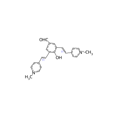 C[n+]1ccc(/C=C/c2cc(C=O)cc(/C=C/c3cc[n+](C)cc3)c2O)cc1